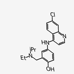 CCN(Cc1cc(Nc2ccnc3cc(Cl)ccc23)ccc1O)C(C)C